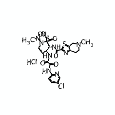 CN1CCc2nc(C(=O)N[C@@H]3[C@@H](NC(=O)C(=O)Nc4ccc(Cl)cn4)CCN(N(C)C)C34C(=O)C4=O)sc2C1.Cl